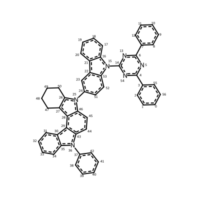 c1ccc(-c2nc(-c3ccccc3)nc(-n3c4ccccc4c4cc(-n5c6c(c7c8c9ccccc9n(-c9ccccc9)c8ccc75)CCCC6)ccc43)n2)cc1